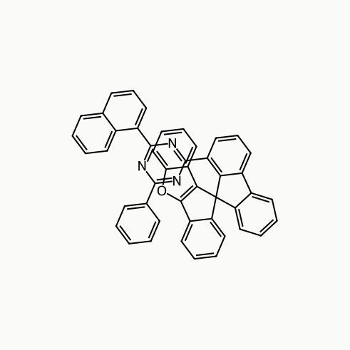 c1ccc(-c2nc(-c3cccc4c3C3(c5ccccc5-4)c4ccccc4-c4oc5ccccc5c43)nc(-c3cccc4ccccc34)n2)cc1